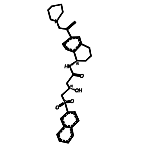 C=C(CN1CCCCC1)c1ccc2c(c1)CCC[C@H]2NC(=O)C[C@H](O)CS(=O)(=O)c1ccc2ccccc2c1